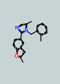 Cc1cc2cc(-c3ncc(C)n3Cc3ccccc3C)ccc2o1